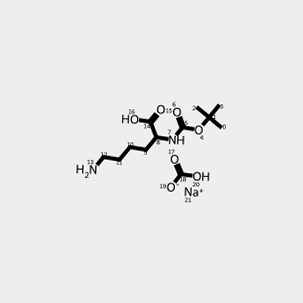 CC(C)(C)OC(=O)NC(CCCCN)C(=O)O.O=C([O-])O.[Na+]